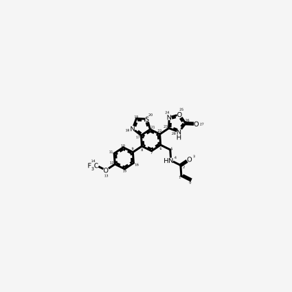 C=CC(=O)NCc1cc(-c2ccc(OC(F)(F)F)cc2)c2ncsc2c1-c1noc(=O)[nH]1